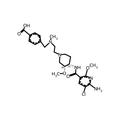 COc1nc(N)c(Cl)cc1C(=O)N[C@H]1CCN(CCN(C)Cc2ccc(C(=O)O)cc2)C[C@H]1OC